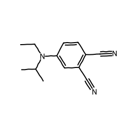 CCN(c1ccc(C#N)c(C#N)c1)C(C)C